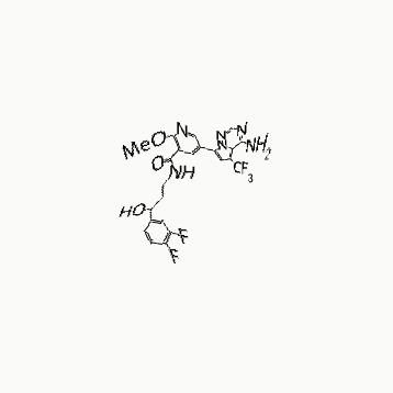 COc1ncc(-c2cc(C(F)(F)F)c3c(N)ncnn23)cc1C(=O)NCCC(O)c1ccc(F)c(F)c1